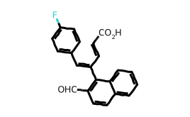 O=Cc1ccc2ccccc2c1C(C=CC(=O)O)=Cc1ccc(F)cc1